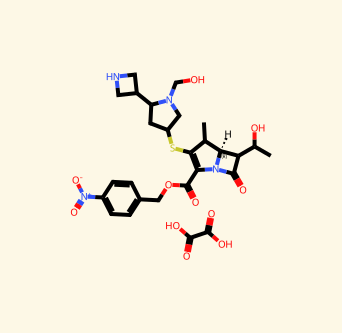 CC(O)C1C(=O)N2C(C(=O)OCc3ccc([N+](=O)[O-])cc3)=C(SC3CC(C4CNC4)N(CO)C3)C(C)[C@@H]12.O=C(O)C(=O)O